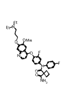 CCN(CC)CCCOc1cc2nccc(Oc3ccc(N(C(=O)C4(C(N)=O)CCC4)c4ccc(F)cc4)cc3F)c2cc1OC